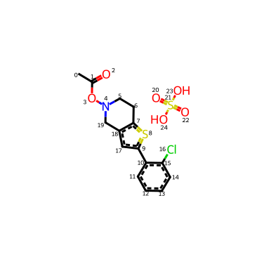 CC(=O)ON1CCc2sc(-c3ccccc3Cl)cc2C1.O=S(=O)(O)O